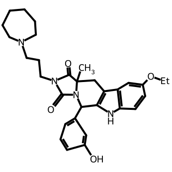 CCOc1ccc2[nH]c3c(c2c1)CC1(C)C(=O)N(CCCN2CCCCCC2)C(=O)N1C3c1cccc(O)c1